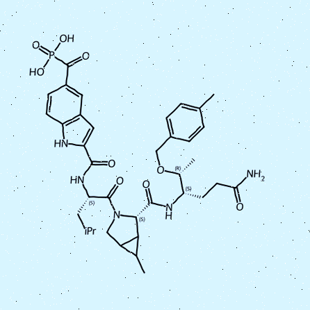 Cc1ccc(CO[C@H](C)[C@H](CCC(N)=O)NC(=O)[C@@H]2C3C(C)C3CN2C(=O)[C@H](CC(C)C)NC(=O)c2cc3cc(C(=O)P(=O)(O)O)ccc3[nH]2)cc1